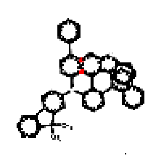 CC1(C)c2ccccc2-c2ccc(N(c3ccc(-c4ccccc4)cc3)c3cccc(-c4cccc5ccccc45)c3-c3cccc4oc5ccccc5c34)cc21